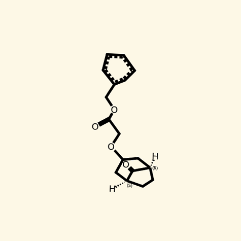 O=C(COC1C[C@H]2CC[C@@H](C1)C2=O)OCc1ccccc1